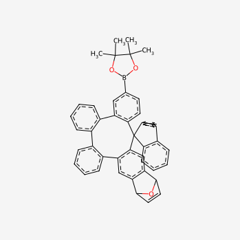 CC1(C)OB(c2ccc3c(c2)-c2ccccc2-c2ccccc2-c2cc4c(cc2C32c3ccccc3-c3ccccc32)C2C=CC4O2)OC1(C)C